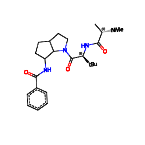 CN[C@@H](C)C(=O)N[C@H](C(=O)N1CCC2CCC(NC(=O)c3ccccc3)C21)C(C)(C)C